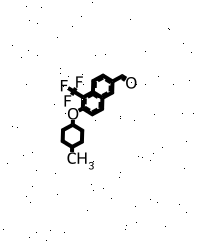 CC1CCC(Oc2ccc3cc(C=O)ccc3c2C(F)(F)F)CC1